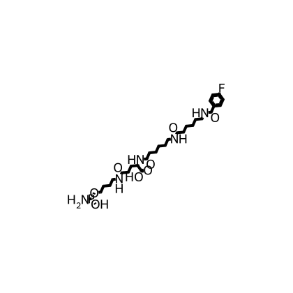 NP(O)OCCCCNC(=O)CCC(NC(=O)CCCCCNC(=O)CCCCCNC(=O)c1ccc(F)cc1)C(=O)O